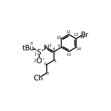 CC(C)(C)[S@+]([O-])/N=C(\CCCCl)c1ccc(Br)cc1